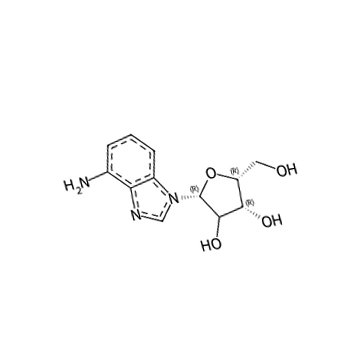 Nc1cccc2c1ncn2[C@@H]1O[C@H](CO)[C@H](O)C1O